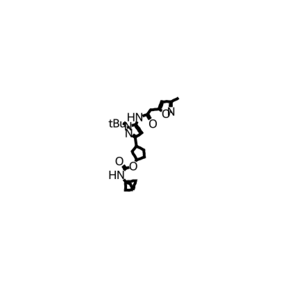 Cc1cc(CC(=O)Nc2cc(C3CCC(OC(=O)NC45CC(C4)C5)C3)nn2C(C)(C)C)on1